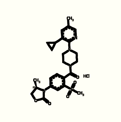 Cc1cnc(N2CCN(C(=O)c3ccc(N4C(=O)OC[C@H]4C)cc3S(C)(=O)=O)CC2)c(C2CC2)c1.Cl